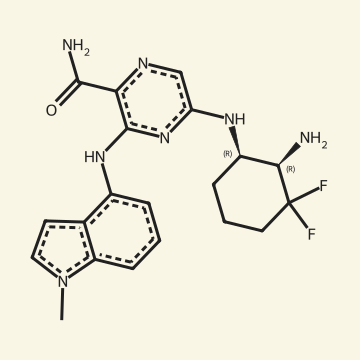 Cn1ccc2c(Nc3nc(N[C@@H]4CCCC(F)(F)[C@@H]4N)cnc3C(N)=O)cccc21